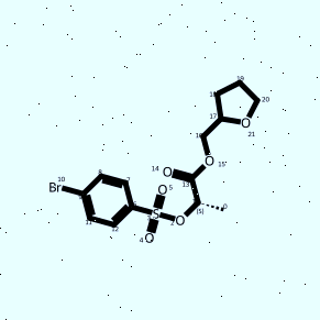 C[C@H](OS(=O)(=O)c1ccc(Br)cc1)C(=O)OCC1CCCO1